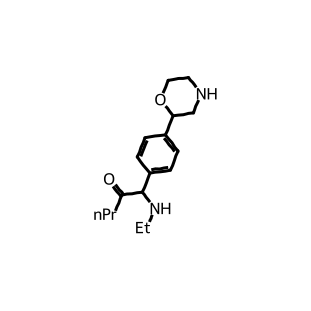 CCCC(=O)C(NCC)c1ccc(C2CNCCO2)cc1